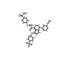 N#Cc1cccc(-c2ccc(C(=O)NCc3ccc(C(=O)O)cc3)c3c2ccn3Cc2ccc(C(F)(F)F)cc2)c1